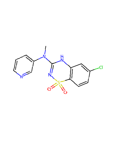 CN(C1=NS(=O)(=O)c2ccc(Cl)cc2N1)c1cccnc1